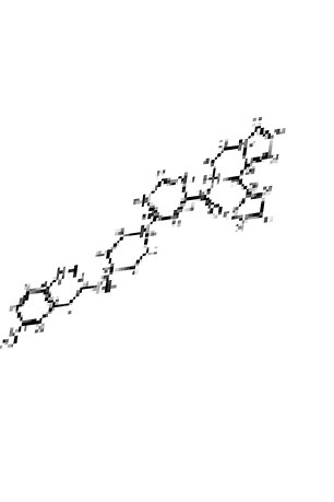 COc1ccc(N)c(CCNC2CCN(c3cc(C(=O)N4CCn5cccc5C4c4cccs4)ncn3)CC2)c1